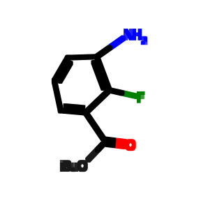 CC(C)COC(=O)c1cccc(N)c1F